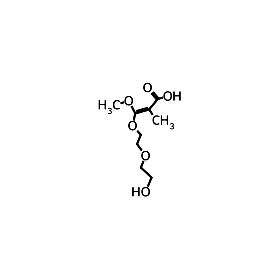 COC(OCCOCCO)=C(C)C(=O)O